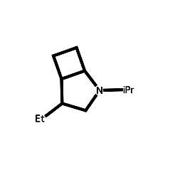 CCC1CN(C(C)C)C2CCC12